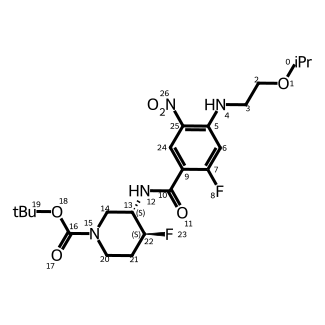 CC(C)OCCNc1cc(F)c(C(=O)N[C@H]2CN(C(=O)OC(C)(C)C)CC[C@@H]2F)cc1[N+](=O)[O-]